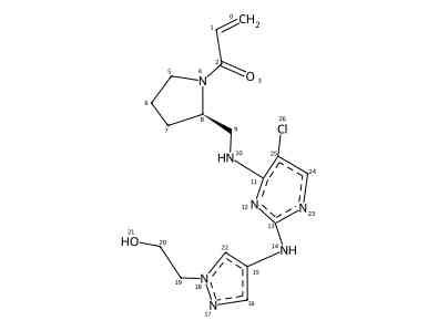 C=CC(=O)N1CCC[C@@H]1CNc1nc(Nc2cnn(CCO)c2)ncc1Cl